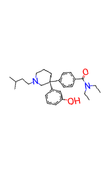 CCN(CC)C(=O)c1ccc(C2(c3cccc(O)c3)CCCN(CCC(C)C)C2)cc1